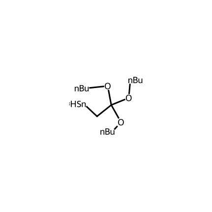 CCCCOC([CH2][SnH])(OCCCC)OCCCC